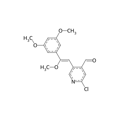 CO/C(=C\c1cnc(Cl)cc1C=O)c1cc(OC)cc(OC)c1